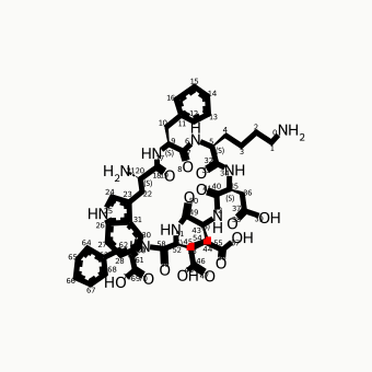 NCCCC[C@H](NC(=O)[C@H](Cc1ccccc1)NC(=O)[C@@H](N)Cc1c[nH]c2ccccc12)C(=O)N[C@@H](CC(=O)O)C(=O)N[C@@H](CCC(=O)O)C(=O)N[C@@H](CCC(=O)O)C(=O)N[C@@H](Cc1ccccc1)C(=O)O